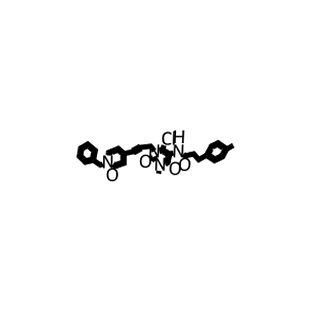 Cc1ccc(CCC(=O)Nc2c(Cl)n(CC#Cc3ccn(Cc4ccccc4)c(=O)c3)c(=O)n(C)c2=O)cc1